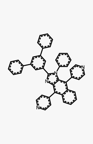 c1ccc(-c2cc(-c3ccccc3)cc(-c3nc4c(-c5ccncc5)c5ccccc5c(-c5ccncc5)c4n3-c3ccccc3)c2)cc1